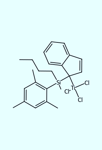 CCCC[Si](C)(c1c(C)cc(C)cc1C)[C]1([Ti]([Cl])([Cl])[Cl])C=Cc2ccccc21